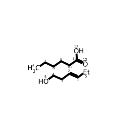 CCC=CCCO.CCCCCC(=O)O